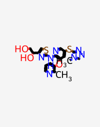 Cc1ncccc1Oc1cc(Sc2nncn2C)cnc1Nc1nc(C(O)CO)cs1